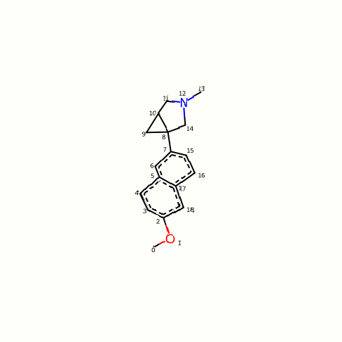 COc1ccc2cc(C34CC3CN(C)C4)ccc2c1